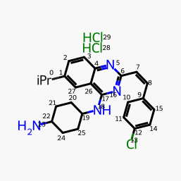 CC(C)c1ccc2nc(/C=C\c3ccc(Cl)cc3)nc(NC3CCC(N)CC3)c2c1.Cl.Cl